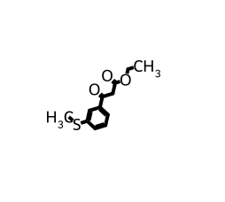 CCOC(=O)CC(=O)c1cccc(SC)c1